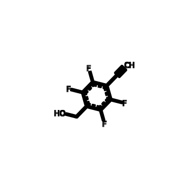 C#Cc1c(F)c(F)c(CO)c(F)c1F